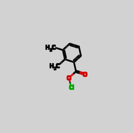 Cc1cccc(C(=O)OCl)c1C